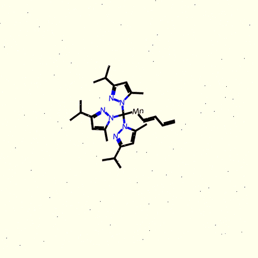 C=CC=[CH][Mn][C](n1nc(C(C)C)cc1C)(n1nc(C(C)C)cc1C)n1nc(C(C)C)cc1C